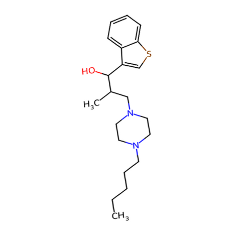 CCCCCN1CCN(CC(C)C(O)c2csc3ccccc23)CC1